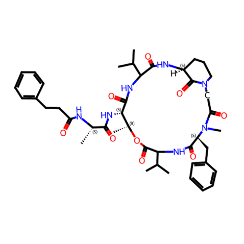 CC(C)C1NC(=O)[C@@H](NC(=O)[C@H](C)NC(=O)CCc2ccccc2)[C@@H](C)OC(=O)C(C(C)C)NC(=O)[C@H](Cc2ccccc2)N(C)C(=O)CN2CCC[C@H](NC1=O)C2=O